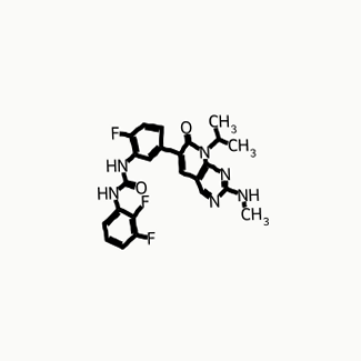 CNc1ncc2cc(-c3ccc(F)c(NC(=O)Nc4cccc(F)c4F)c3)c(=O)n(C(C)C)c2n1